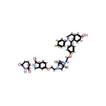 O=C1CC[C@H](N2Cc3cc(OCCN4C[C@H]5C[C@@H]4CN5CCOc4ccc(C5c6ccc(O)cc6CCN5c5ccc(F)cc5)cc4)ccc3C2=O)C(=O)N1